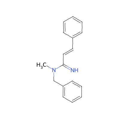 CN(Cc1ccccc1)C(=N)C=Cc1ccccc1